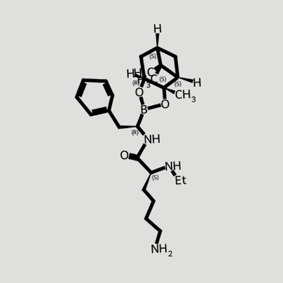 CCN[C@@H](CCCCN)C(=O)N[C@@H](Cc1ccccc1)B1O[C@@H]2C[C@@H]3C[C@@H](C3(C)C)[C@]2(C)O1